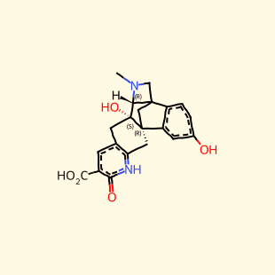 CN1CC23C[C@@]4(Cc5[nH]c(=O)c(C(=O)O)cc5C[C@@]4(O)[C@H]12)c1cc(O)ccc13